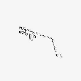 C=C(CCCN(CCCCCCCC/C=C\CCCCCCCC)C(N)=O)C(=O)O